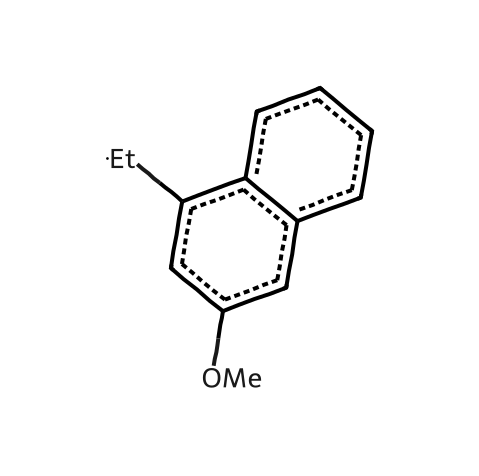 C[CH]c1cc(OC)cc2ccccc12